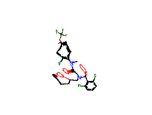 CN(C(=O)N(CC1CCCO1)C(=O)c1c(F)cccc1F)c1ccc(SC(F)(F)F)cc1F